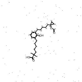 CC(C)(CCCCCc1cccc(CCCCCC2(OC=O)CC2)c1O)C(=O)O